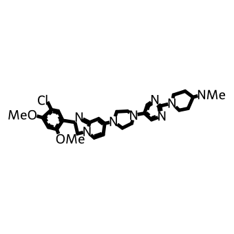 CNC1CCN(c2ncc(N3CCN(C4=CC5=NC(c6cc(Cl)c(OC)cc6OC)CN5C=C4)CC3)cn2)CC1